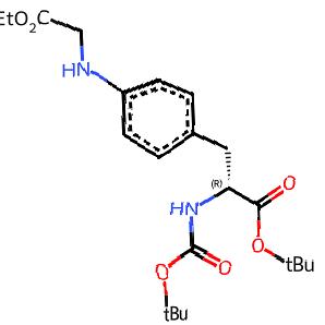 CCOC(=O)CNc1ccc(C[C@@H](NC(=O)OC(C)(C)C)C(=O)OC(C)(C)C)cc1